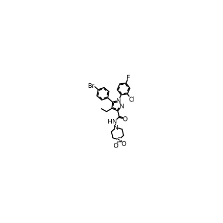 CCc1c(C(=O)NN2CCS(=O)(=O)CC2)nn(-c2ccc(F)cc2Cl)c1-c1ccc(Br)cc1